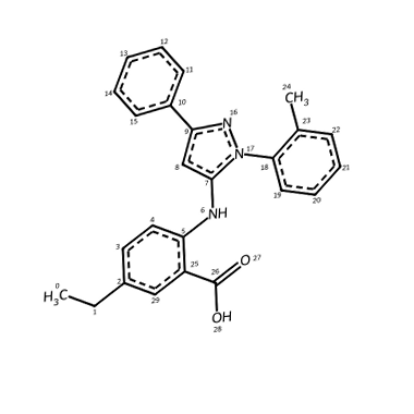 CCc1ccc(Nc2cc(-c3ccccc3)nn2-c2ccccc2C)c(C(=O)O)c1